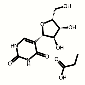 CCC(=O)O.O=c1[nH]cc([C@@H]2O[C@H](CO)[C@@H](O)[C@H]2O)c(=O)[nH]1